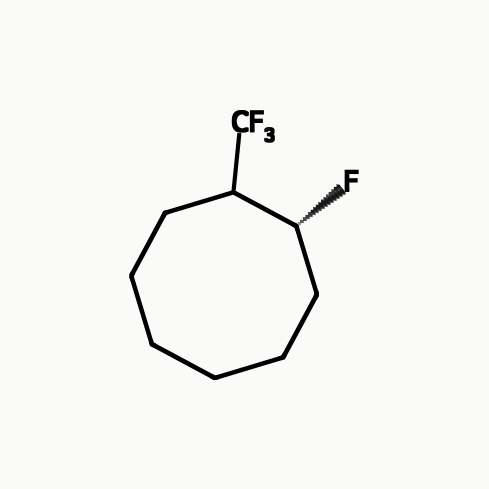 F[C@@H]1CCCCCCC1C(F)(F)F